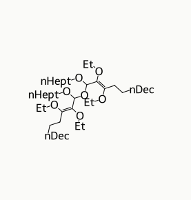 CCCCCCCCCCCCC(OCC)=C(OCC)C(OCCCCCCC)OC(OCCCCCCC)C(OCC)=C(CCCCCCCCCCCC)OCC